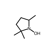 CC1CCC(C)(C)N1O